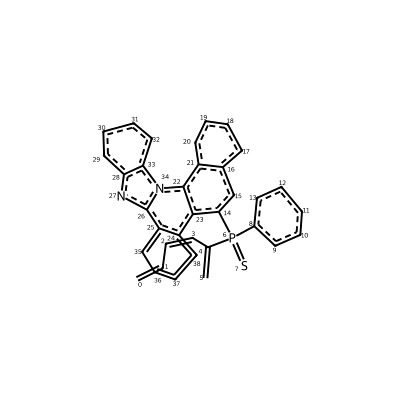 C=C/C=C\C(=C)P(=S)(c1ccccc1)c1cc2ccccc2c2c1c1c(c3nc4ccccc4n32)=CC=C=C=1